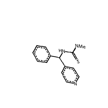 CNC(=S)NC(c1ccccc1)c1ccncc1